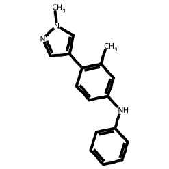 Cc1cc(Nc2ccccc2)ccc1-c1cnn(C)c1